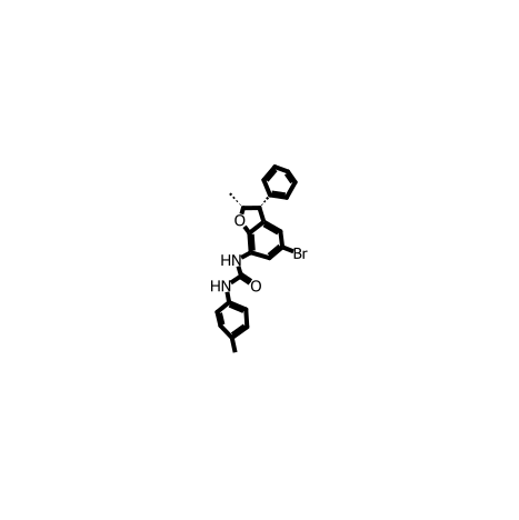 Cc1ccc(NC(=O)Nc2cc(Br)cc3c2O[C@H](C)[C@@H]3c2ccccc2)cc1